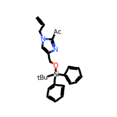 C=CCn1cc(CO[Si](c2ccccc2)(c2ccccc2)C(C)(C)C)nc1C(C)=O